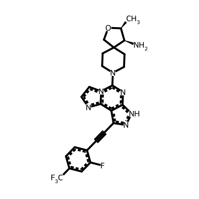 C[C@@H]1OCC2(CCN(c3nc4[nH]nc(C#Cc5ccc(C(F)(F)F)cc5F)c4c4nccn34)CC2)[C@@H]1N